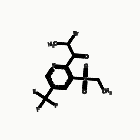 CCS(=O)(=O)c1cc(C(F)(F)F)cnc1C(=O)C(C)Br